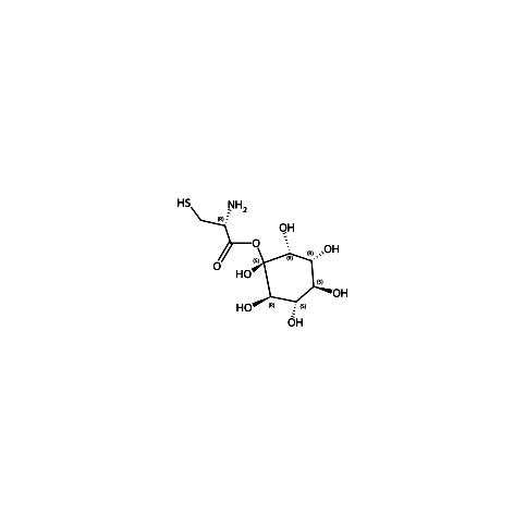 N[C@@H](CS)C(=O)O[C@]1(O)[C@H](O)[C@H](O)[C@@H](O)[C@H](O)[C@H]1O